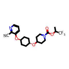 CC(OC(=O)N1CCC(O[C@H]2CC[C@H](Oc3cccnc3C#N)CC2)CC1)C(F)(F)F